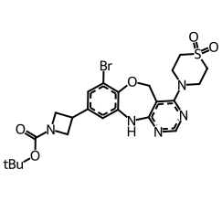 CC(C)(C)OC(=O)N1CC(c2cc(Br)c3c(c2)Nc2ncnc(N4CCS(=O)(=O)CC4)c2CO3)C1